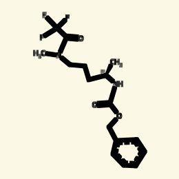 C[C@H](CCCN(C)C(=O)C(F)(F)F)NC(=O)OCc1ccccc1